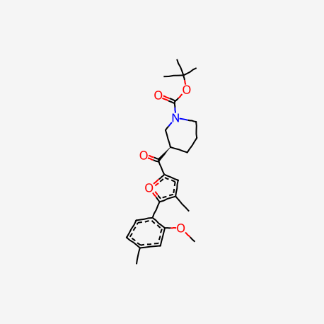 COc1cc(C)ccc1-c1oc(C(=O)[C@@H]2CCCN(C(=O)OC(C)(C)C)C2)cc1C